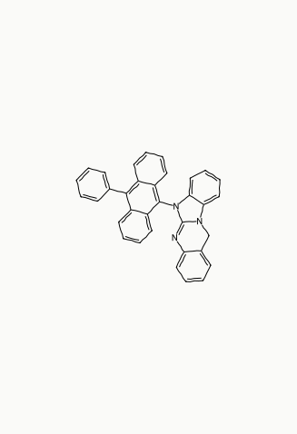 c1ccc(-c2c3ccccc3c(N3C4=Nc5ccccc5CN4c4ccccc43)c3ccccc23)cc1